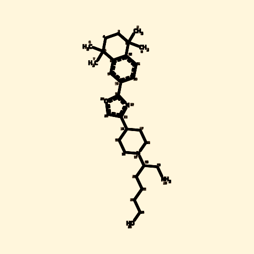 CC1(C)CCC(C)(C)c2cc(-c3nc(C4CCN(C(CN)CCCCO)CC4)co3)ccc21